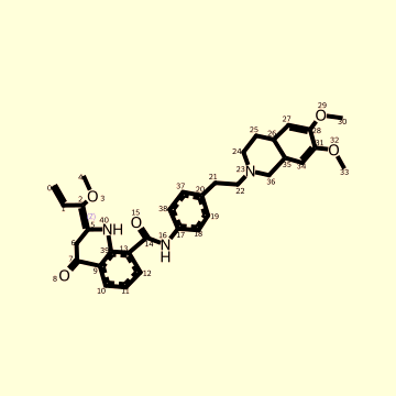 C=C/C(OC)=C1\CC(=O)c2cccc(C(=O)Nc3ccc(CCN4CCC5C=C(OC)C(OC)=CC5C4)cc3)c2N1